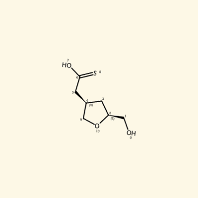 OC[C@@H]1C[C@H](CC(O)=S)CO1